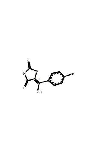 C/C(=C1/SC(=O)NC1=O)c1ccc(Br)cc1